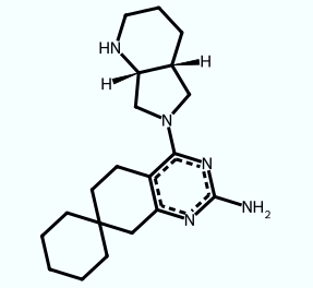 Nc1nc2c(c(N3C[C@H]4CCCN[C@H]4C3)n1)CCC1(CCCCC1)C2